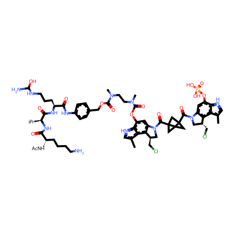 CC(=O)N[C@@H](CCCCN)C(=O)N[C@H](C(=O)N[C@@H](CCCNC(N)O)C(=O)Nc1ccc(COC(=O)N(C)CCN(C)C(=O)Oc2cc3c(c4c(C)c[nH]c24)[C@H](CCl)CN3C(=O)C23CC4(C(=O)N5C[C@@H](CCl)c6c5cc(OP(=O)(O)O)c5[nH]cc(C)c65)CC24C3)cc1)C(C)C